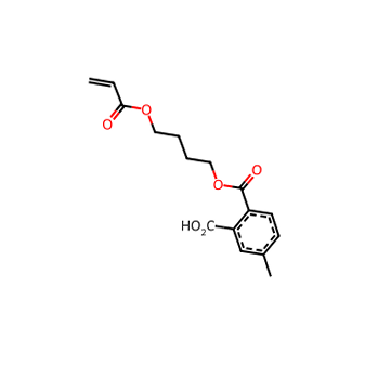 C=CC(=O)OCCCCOC(=O)c1ccc(C)cc1C(=O)O